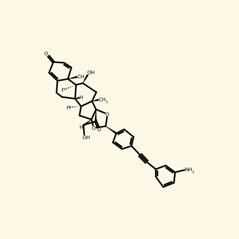 C[C@]12C=CC(=O)C=C1CC[C@H]1[C@@H]3C[C@H]4O[C@H](c5ccc(C#Cc6cccc(N)c6)cc5)O[C@@]4(C(=O)CO)[C@@]3(C)C[C@H](O)[C@@]12F